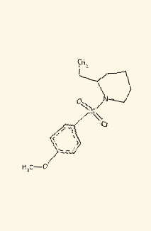 CCC1CCCCN1S(=O)(=O)c1ccc(OC)cc1